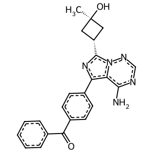 C[C@]1(O)C[C@H](c2nc(-c3ccc(C(=O)c4ccccc4)cc3)c3c(N)ncnn32)C1